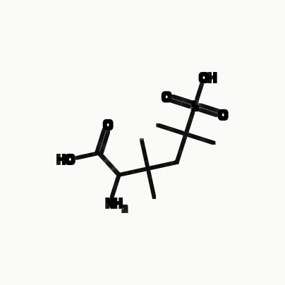 CC(C)(CC(C)(C)S(=O)(=O)O)C(N)C(=O)O